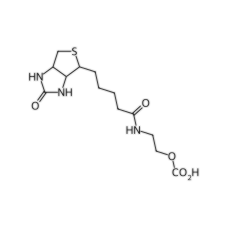 O=C(CCCCC1SCC2NC(=O)NC21)NCCOC(=O)O